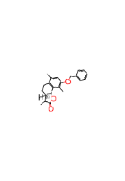 Cc1cc(OCc2ccccc2)c(C)c2c1CC[C@H]1C(C)C(=O)OC21